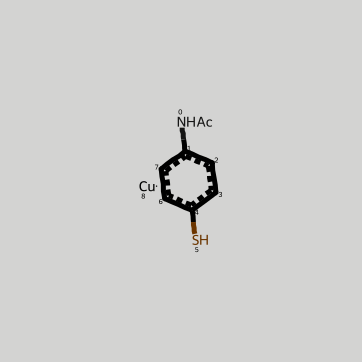 CC(=O)Nc1ccc(S)cc1.[Cu]